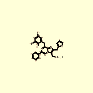 O=C(O)Cc1c(Cc2ccco2)nc2c(Cc3cc(F)cc(F)c3F)nc(-c3ccccc3)cn12